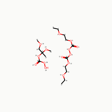 CCOCCOC(=O)OOC(=O)OCCOCC.COCC(C)(OC)OC(=O)OO